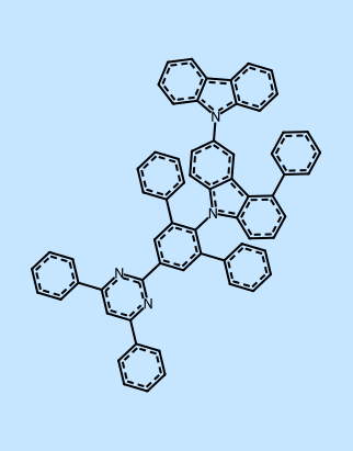 c1ccc(-c2cc(-c3ccccc3)nc(-c3cc(-c4ccccc4)c(-n4c5ccc(-n6c7ccccc7c7ccccc76)cc5c5c(-c6ccccc6)cccc54)c(-c4ccccc4)c3)n2)cc1